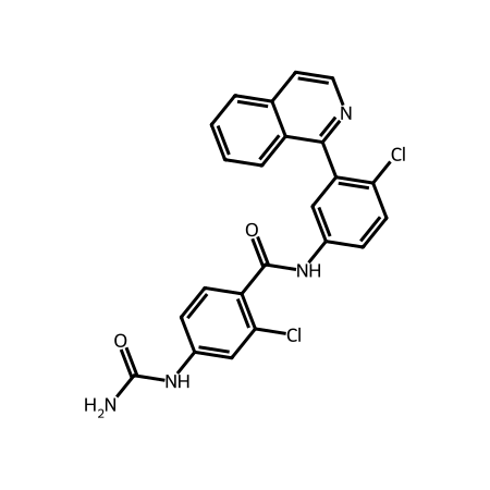 NC(=O)Nc1ccc(C(=O)Nc2ccc(Cl)c(-c3nccc4ccccc34)c2)c(Cl)c1